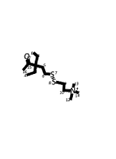 CCC(CC)(CCSSCC[N+](C)(C)C)C(C)=O